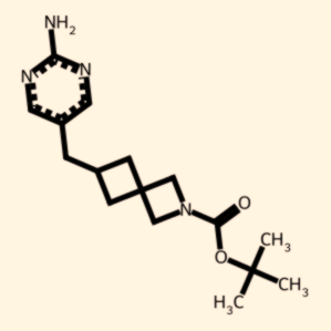 CC(C)(C)OC(=O)N1CC2(CC(Cc3cnc(N)nc3)C2)C1